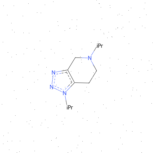 CC(C)N1CCc2c(nnn2C(C)C)C1